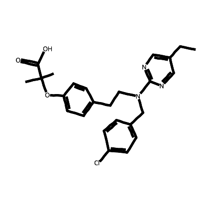 CCc1cnc(N(CCc2ccc(OC(C)(C)C(=O)O)cc2)Cc2ccc(Cl)cc2)nc1